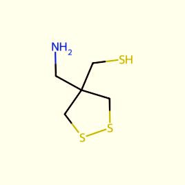 NCC1(CS)CSSC1